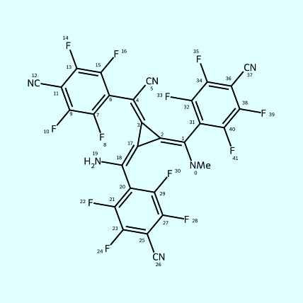 CN/C(=C1/C(=C(C#N)c2c(F)c(F)c(C#N)c(F)c2F)/C1=C(\N)c1c(F)c(F)c(C#N)c(F)c1F)c1c(F)c(F)c(C#N)c(F)c1F